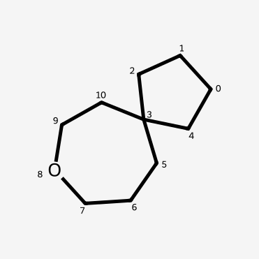 C1CCC2(C1)CCCOCC2